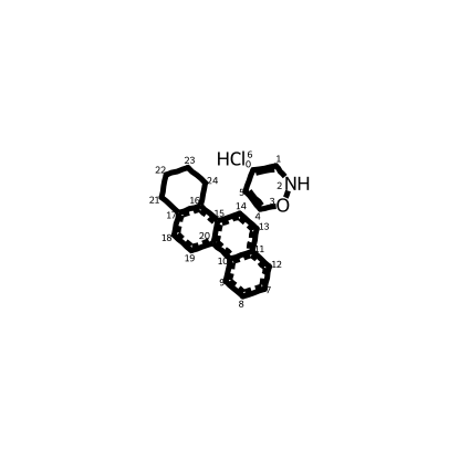 C1=CNOC=C1.Cl.c1ccc2c(c1)ccc1c3c(ccc12)CCCC3